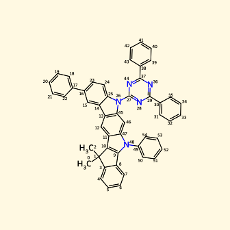 CC1(C)c2ccccc2-c2c1c1cc3c4cc(-c5ccccc5)ccc4n(-c4nc(-c5ccccc5)nc(-c5ccccc5)n4)c3cc1n2-c1ccccc1